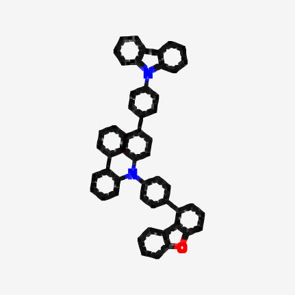 c1ccc(-c2ccccc2N(c2ccc(-c3ccc(-n4c5ccccc5c5ccccc54)cc3)cc2)c2ccc(-c3cccc4oc5ccccc5c34)cc2)cc1